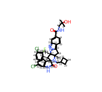 CC(C)(O)CNC(=O)c1ccc2c3n(nc2c1)[C@@H]1[C@H](C3)N(CC2CCC2)[C@@]2(C(=O)Nc3cc(Cl)ccc32)[C@H]1c1cccc(Cl)c1F